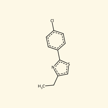 CCc1csc(-c2ccc(Cl)cc2)n1